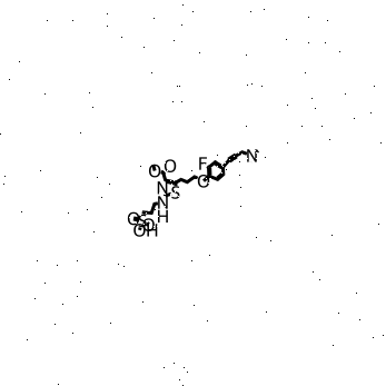 COC(=O)c1nc(NCCCS(=O)(=O)O)sc1CCCOc1ccc(C#CCN(C)C)cc1F